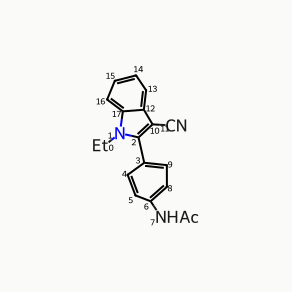 CCn1c(-c2ccc(NC(C)=O)cc2)c(C#N)c2ccccc21